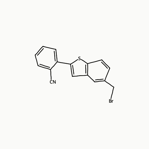 N#Cc1ccccc1-c1cc2cc(CBr)ccc2s1